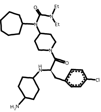 CCN(CC)C(=O)N(C1CCCCCC1)C1CCN(C(=O)[C@@H](Cc2ccc(Cl)cc2)NC2CCC(N)CC2)CC1